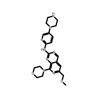 COCc1cc2cnc(Nc3ccc(N4CCNCC4)cn3)nc2c(N2CCOCC2)n1